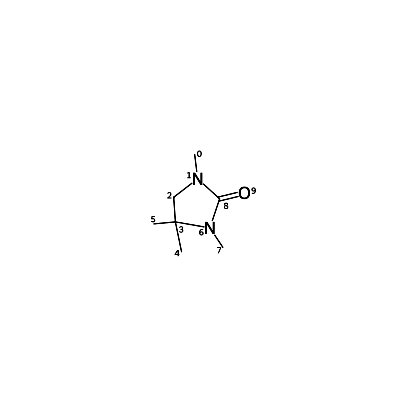 CN1CC(C)(C)N(C)C1=O